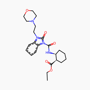 CCOC(=O)[C@@H]1CCCC[C@@H]1NC(=O)n1c(=O)n(CCN2CCOCC2)c2ccccc21